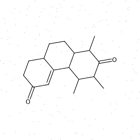 CC1C(=O)C(C)C2CCC3CCC(=O)C=C3C2C1C